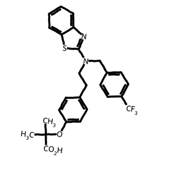 CC(C)(Oc1ccc(CCN(Cc2ccc(C(F)(F)F)cc2)c2nc3ccccc3s2)cc1)C(=O)O